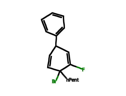 CCCCCC1(Br)C=CC(c2ccccc2)C=C1F